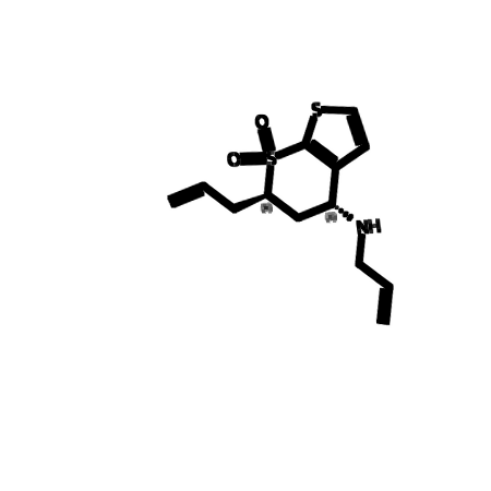 C=CCN[C@@H]1C[C@@H](CC=C)S(=O)(=O)c2sccc21